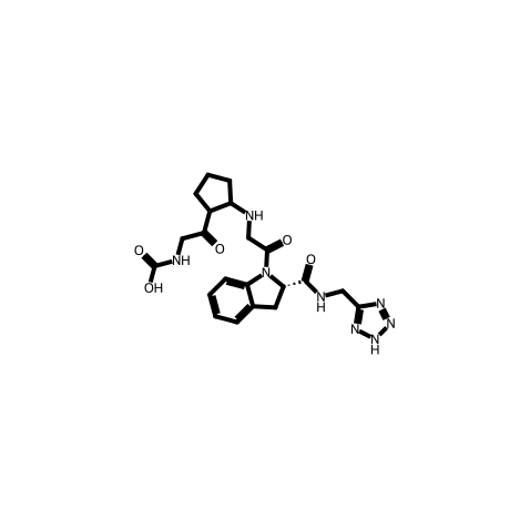 O=C(O)NCC(=O)C1CCCC1NCC(=O)N1c2ccccc2C[C@H]1C(=O)NCc1nn[nH]n1